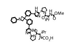 COC(=O)N[C@H](C(=O)N1CCC[C@H]1c1ncc(-c2cccc(C3(c4cccc(-c5cnc([C@@H]6CCCN6C(=O)[C@H](C(C)C)N(C)C(=O)O)[nH]5)c4)CN(c4ccccc4)C3)c2)[nH]1)C(C)C